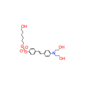 O=S(=O)(OCCCCCCO)Oc1ccc(/C=C/c2ccc(N(CCO)CCO)cc2)cc1